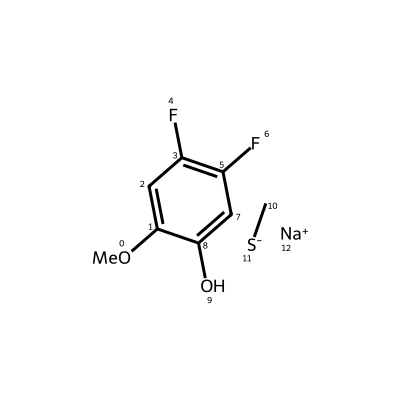 COc1cc(F)c(F)cc1O.C[S-].[Na+]